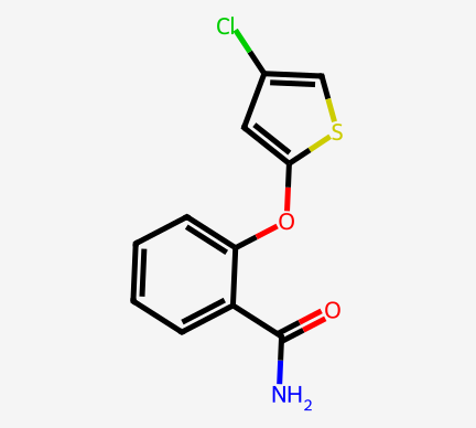 NC(=O)c1ccccc1Oc1cc(Cl)cs1